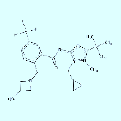 Cn1c(C(C)(C)C)cc(=NC(=O)c2cc(C(F)(F)F)ccc2CN2CC(O)C2)n1CC1CC1